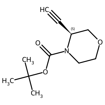 C#C[C@H]1COCCN1C(=O)OC(C)(C)C